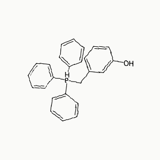 Oc1cccc(C[PH](c2ccccc2)(c2ccccc2)c2ccccc2)c1